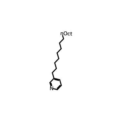 CCCCCCCCCCCCCCCCc1cccnc1